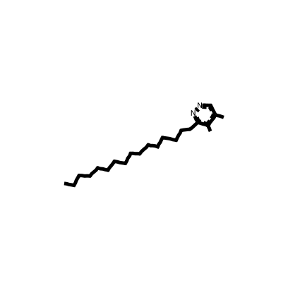 CCCCCCCCCCCCCCCCc1nncc(C)c1C